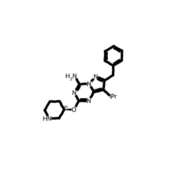 CC(C)c1c(Cc2ccccc2)nn2c(N)nc(O[C@@H]3CCCNC3)nc12